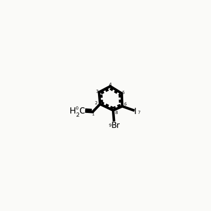 C=Cc1cccc(I)c1Br